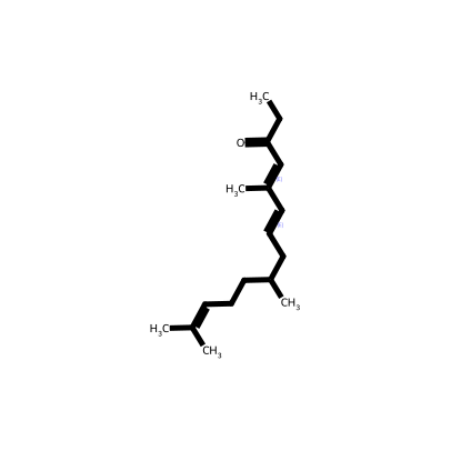 CCC(=O)/C=C(C)/C=C/CC(C)CCC=C(C)C